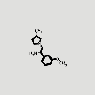 COc1cccc([C@H](N)CN2CC[C@H](C)C2)c1